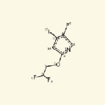 Fc1cnc(OCC(F)F)cc1I